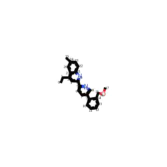 CCc1cc(-c2ccc(-c3ccccc3COC)cn2)nc2ccc(C)cc12